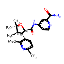 COc1nc(C(F)(F)F)ccc1[C@@H]1[C@@H](C)[C@](C)(C(F)(F)F)O[C@H]1C(=O)Nc1ccnc(C(N)=O)c1